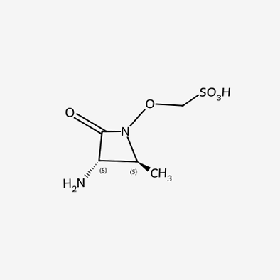 C[C@H]1[C@H](N)C(=O)N1OCS(=O)(=O)O